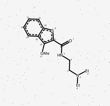 CCN(CC)CCNC(=O)c1sc2ccccc2c1OC